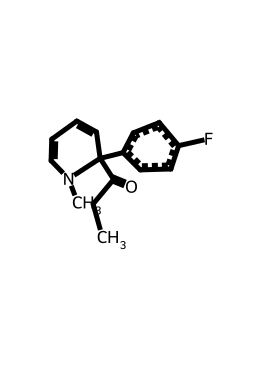 CCC(=O)C1(c2ccc(F)cc2)C=CC=CN1C